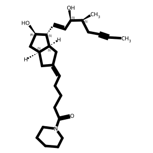 CC#CC[C@H](C)[C@H](O)C=C[C@@H]1[C@H]2CC(=CCCCC(=O)N3CCCCC3)C[C@H]2C[C@H]1O